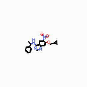 CC(Nc1ncnc2cc(OCC3CC3)c([N+](=O)[O-])cc12)c1ccccc1